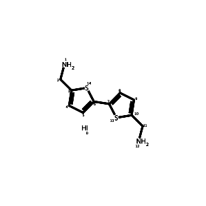 I.NCc1ccc(-c2ccc(CN)s2)s1